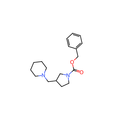 O=C(OCc1ccccc1)N1CCC(CN2CCCCC2)C1